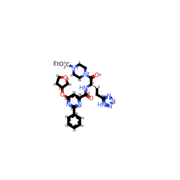 CCOC(=O)N1CCN(C(=O)[C@H](CCc2nnn[nH]2)NC(=O)c2cc(OC3CCOC3)nc(-c3ccccc3)n2)CC1